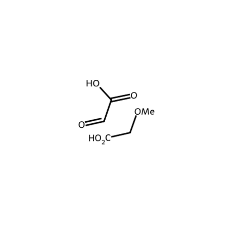 COCC(=O)O.O=CC(=O)O